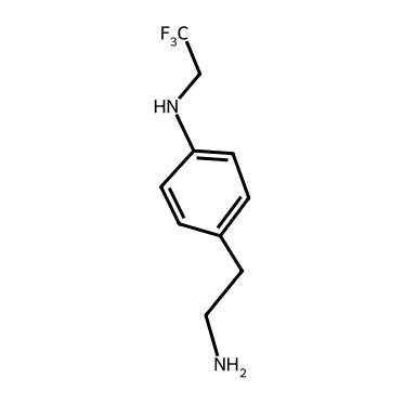 NCCc1ccc(NCC(F)(F)F)cc1